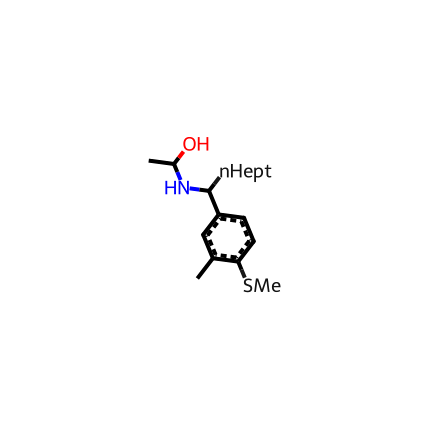 CCCCCCCC(NC(C)O)c1ccc(SC)c(C)c1